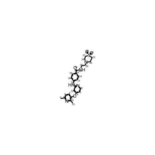 Cc1ccc(Oc2ccnc(Nc3ccc(C(=O)NCCN4CCS(=O)(=O)CC4)cc3)c2)c(C)n1